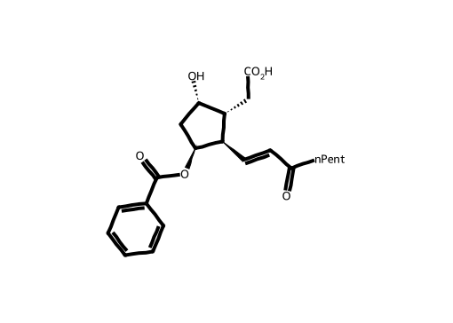 CCCCCC(=O)C=C[C@@H]1[C@@H](CC(=O)O)[C@@H](O)C[C@@H]1OC(=O)c1ccccc1